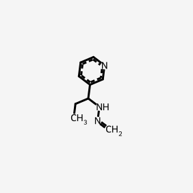 C=NNC(CC)c1cccnc1